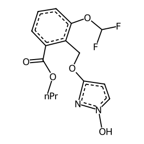 CCCOC(=O)c1cccc(OC(F)F)c1COc1ccn(O)n1